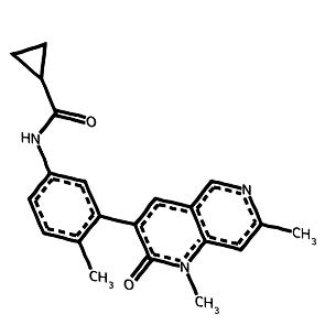 Cc1cc2c(cn1)cc(-c1cc(NC(=O)C3CC3)ccc1C)c(=O)n2C